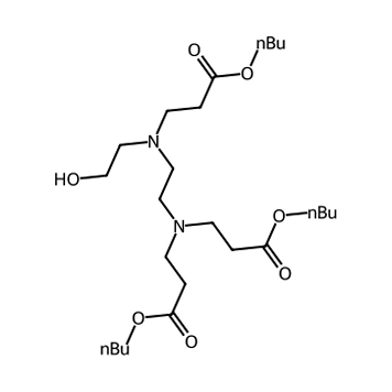 CCCCOC(=O)CCN(CCO)CCN(CCC(=O)OCCCC)CCC(=O)OCCCC